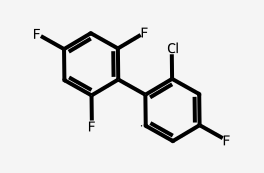 Fc1cc(F)c(-c2[c]cc(F)cc2Cl)c(F)c1